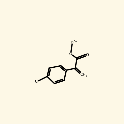 C=C(C(=O)OCCC)c1ccc(Cl)cc1